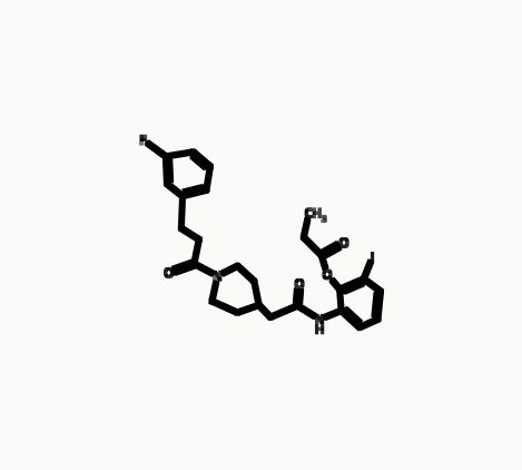 CCC(=O)Oc1c(I)cccc1NC(=O)CC1CCN(C(=O)CCc2cccc(F)c2)CC1